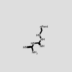 CCCCCCNNC(=N)NC(=N)N